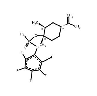 C=C(C)[C@@H]1CC[C@](C)(OP(=S)(S)Sc2c(F)c(F)c(F)c(F)c2F)[C@@H](C)C1